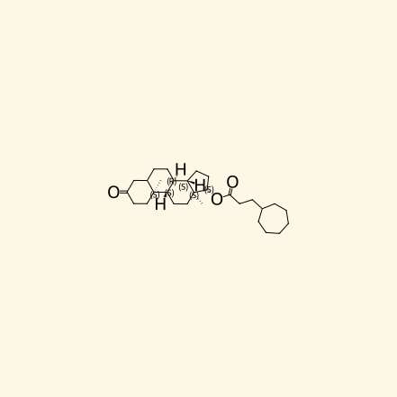 C[C@]12CC[C@H]3[C@@H](CCC4CC(=O)CC[C@@]43C)[C@@H]1CC[C@@H]2OC(=O)CCC1CCCCCC1